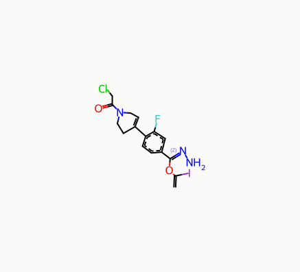 C=C(I)O/C(=N\N)c1ccc(C2=CCN(C(=O)CCl)CC2)c(F)c1